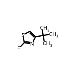 CC(C)(C)c1csc(F)n1